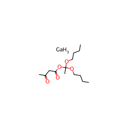 CCCCOC(C)(OCCCC)OC(=O)CC(C)=O.[GaH3]